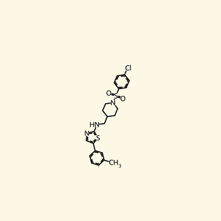 Cc1[c]ccc(-c2cnc(NCC3CCN(S(=O)(=O)c4ccc(Cl)cc4)CC3)s2)c1